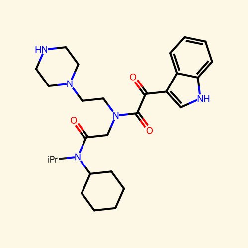 CC(C)N(C(=O)CN(CCN1CCNCC1)C(=O)C(=O)c1c[nH]c2ccccc12)C1CCCCC1